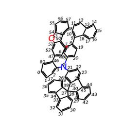 c1ccc(N(c2ccc(-c3cccc4ccccc34)cc2)c2ccc3c(c2)C2(c4ccccc4-c4ccccc42)c2ccccc2-3)c(-c2ccc3c(c2)oc2ccccc23)c1